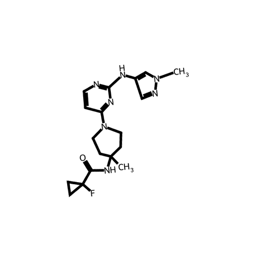 Cn1cc(Nc2nccc(N3CCC(C)(NC(=O)C4(F)CC4)CC3)n2)cn1